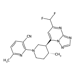 Cc1ccc(C#N)c(N2CC[C@@H](C)[C@H](c3cc(C(F)F)nc4ncnn34)C2)n1